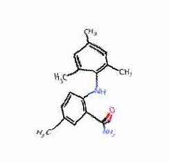 Cc1cc(C)c(Nc2ccc(C)cc2C(N)=O)c(C)c1